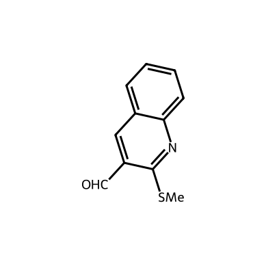 CSc1nc2ccccc2cc1C=O